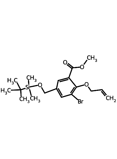 C=CCOc1c(Br)cc(CO[Si](C)(C)C(C)(C)C)cc1C(=O)OC